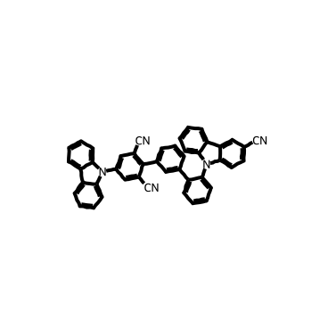 N#Cc1ccc2c(c1)c1ccccc1n2-c1ccccc1-c1cccc(-c2c(C#N)cc(-n3c4ccccc4c4ccccc43)cc2C#N)c1